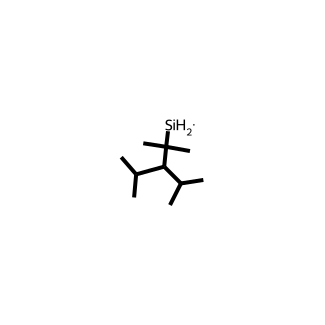 CC(C)C(C(C)C)C(C)(C)[SiH2]